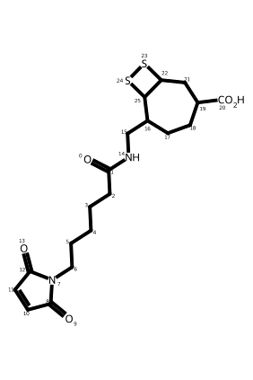 O=C(CCCCCN1C(=O)C=CC1=O)NCC1CCC(C(=O)O)CC2SSC12